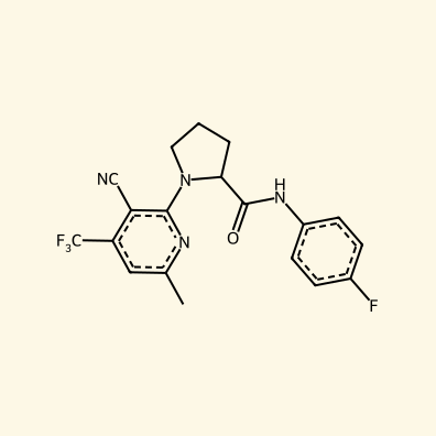 Cc1cc(C(F)(F)F)c(C#N)c(N2CCCC2C(=O)Nc2ccc(F)cc2)n1